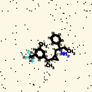 C=C[C@@](N)(CC1CC1[C@H](C)c1cc(C)cc(C(F)(F)F)c1)c1ccccc1